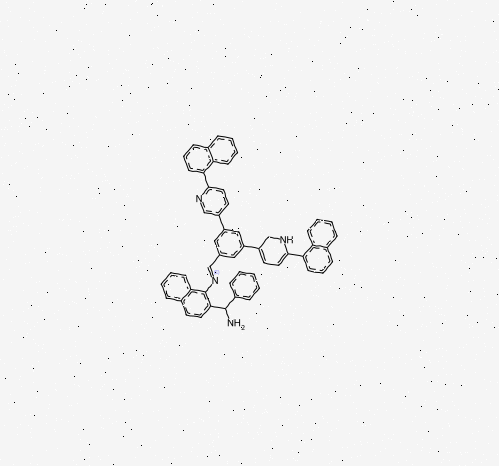 NC(c1ccccc1)c1ccc2ccccc2c1/N=C/c1cc(C2=CC=C(c3cccc4ccccc34)NC2)cc(-c2ccc(-c3cccc4ccccc34)nc2)c1